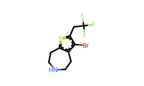 FC(F)(F)Cc1sc2c(c1Br)CCNCC2